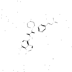 C[C@H]1CC[C@H](c2cccc(CCN(C)C)c2)N(C(=O)C(=O)Nc2cnc(N)c3c2cnn3C)C1